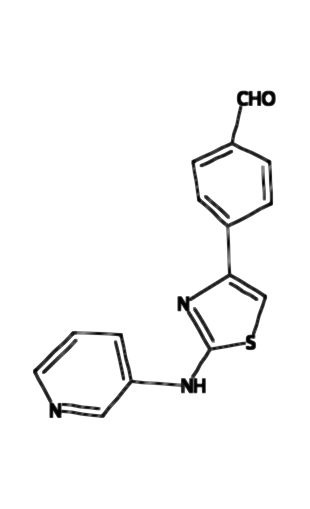 O=Cc1ccc(-c2csc(Nc3cccnc3)n2)cc1